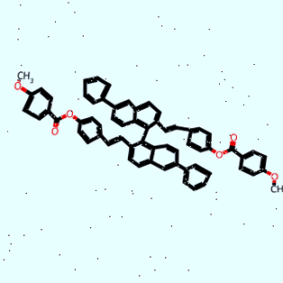 COc1ccc(C(=O)Oc2ccc(/C=C/c3ccc4cc(-c5ccccc5)ccc4c3-c3c(/C=C/c4ccc(OC(=O)c5ccc(OC)cc5)cc4)ccc4cc(-c5ccccc5)ccc34)cc2)cc1